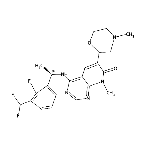 C[C@@H](Nc1ncnc2c1cc(C1CN(C)CCO1)c(=O)n2C)c1cccc(C(F)F)c1F